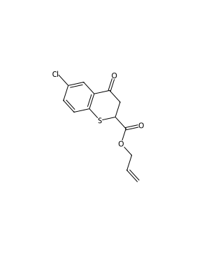 C=CCOC(=O)C1CC(=O)c2cc(Cl)ccc2S1